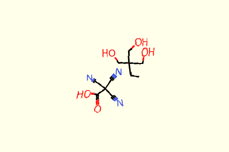 CCC(CO)(CO)CO.N#CC(C#N)(C#N)C(=O)O